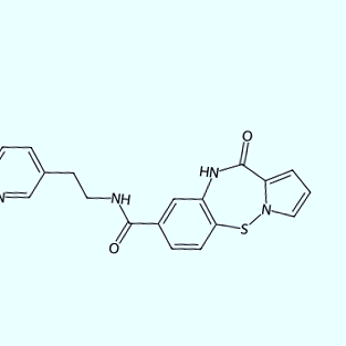 O=C(NCCc1cccnc1)c1ccc2c(c1)NC(=O)c1cccn1S2